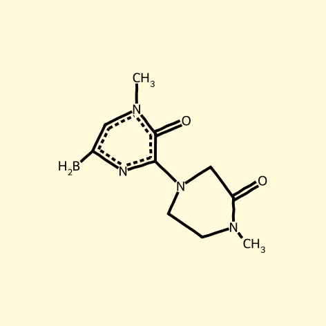 Bc1cn(C)c(=O)c(N2CCN(C)C(=O)C2)n1